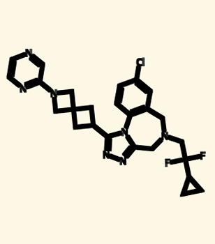 FC(F)(CN1Cc2cc(Cl)ccc2-n2c(nnc2C2CC3(C2)CN(c2cnccn2)C3)C1)C1CC1